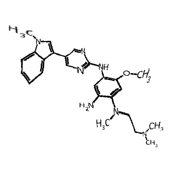 COc1cc(N(C)CCN(C)C)c(N)cc1Nc1ncc(-c2cn(C)c3ccccc23)cn1